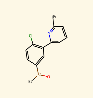 CC[S+]([O-])c1ccc(Cl)c(-c2cccc(C(C)C)n2)c1